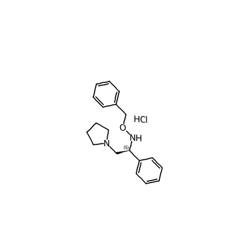 Cl.c1ccc(CON[C@H](CN2CCCC2)c2ccccc2)cc1